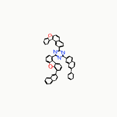 c1ccc(-c2ccc3ccc(-c4nc(-c5ccc6ccc7oc8ccccc8c7c6c5)nc(-c5cccc6oc7c(-c8ccc9ccccc9c8)cccc7c56)n4)cc3c2)cc1